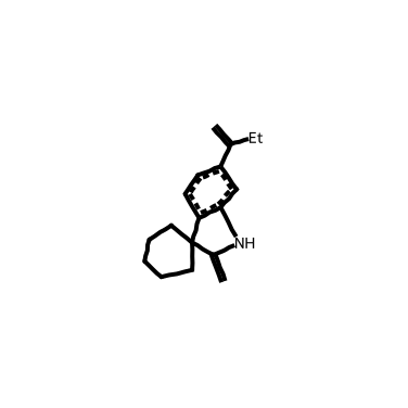 C=C(CC)c1ccc2c(c1)NC(=C)C21CCCCC1